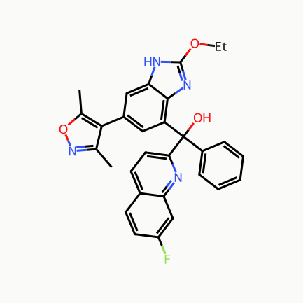 CCOc1nc2c(C(O)(c3ccccc3)c3ccc4ccc(F)cc4n3)cc(-c3c(C)noc3C)cc2[nH]1